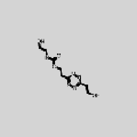 O=C(NCCO)OCCc1nnc(CCO)nn1